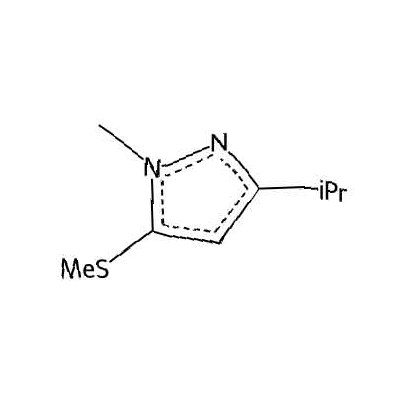 CSc1cc(C(C)C)nn1C